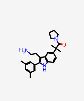 Cc1cc(C)cc(-c2[nH]c3ccc(C(C)(C)C(=O)N4CCCC4)cc3c2CCN)c1